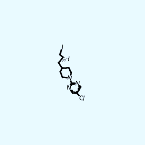 Clc1cnc(N2CCC(C[C@@H](I)CI)CC2)nc1